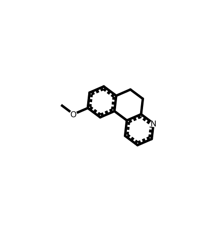 COc1ccc2c(c1)-c1cccnc1CC2